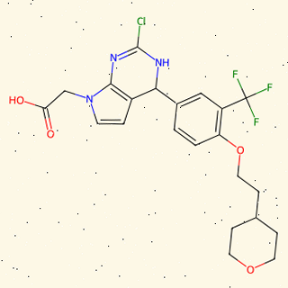 O=C(O)Cn1ccc2c1N=C(Cl)NC2c1ccc(OCCC2CCOCC2)c(C(F)(F)F)c1